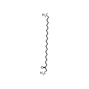 CCCCCCCCCCCCCCCCCCCCC(=O)CC